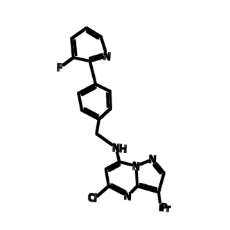 CC(C)c1cnn2c(NCc3ccc(-c4ncccc4F)cc3)cc(Cl)nc12